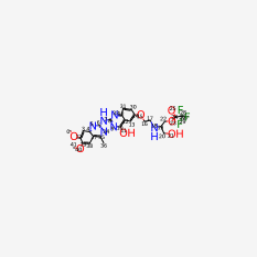 COc1cc2nc(Nc3nc(O)c4cc(OCCNC(CO)COC(=O)C(F)(F)F)ccc4n3)nc(C)c2cc1OC